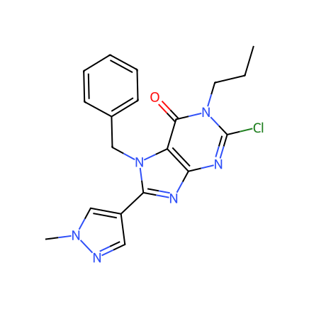 CCCn1c(Cl)nc2nc(-c3cnn(C)c3)n(Cc3ccccc3)c2c1=O